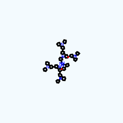 c1ccc(-c2ccccc2-c2nc(-c3cccc(-n4c5ccc(-c6ccc7c(c6)c6ccccc6n7-c6ccccc6)cc5c5cc(-c6ccc7c(c6)c6ccccc6n7-c6ccccc6)ccc54)c3)nc(-n3c4ccc(-c5ccc6c(c5)c5ccccc5n6-c5ccccc5)cc4c4cc(-c5ccc6c(c5)c5ccccc5n6-c5ccccc5)ccc43)n2)cc1